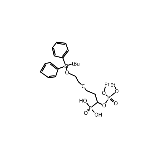 CCOP(=O)(OCC)OC(CCCCCO[Si](c1ccccc1)(c1ccccc1)C(C)(C)C)P(=O)(O)O